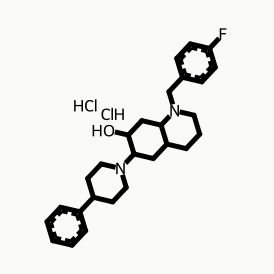 Cl.Cl.OC1CC2C(CCCN2Cc2ccc(F)cc2)CC1N1CCC(c2ccccc2)CC1